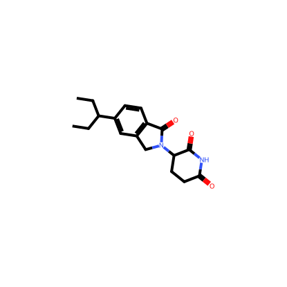 CCC(CC)c1ccc2c(c1)CN(C1CCC(=O)NC1=O)C2=O